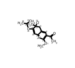 COc1nc2c(cc1C(C)=O)CC(C)(Cl)C(OC(C)C)=C2